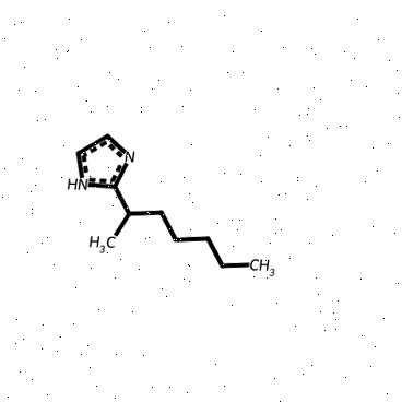 CCCCCC(C)c1ncc[nH]1